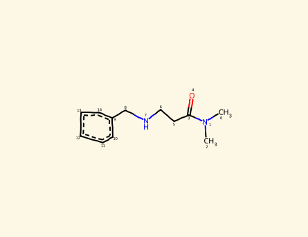 CN(C)C(=O)CCNCc1ccccc1